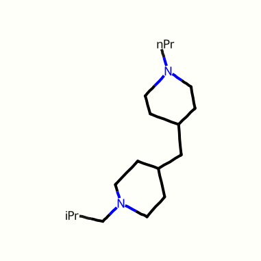 CCCN1CCC(CC2CCN(CC(C)C)CC2)CC1